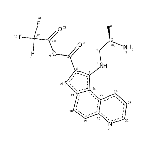 C[C@@H](N)CNc1c(C(=O)OC(=O)C(F)(F)F)sc2ccc3ncccc3c12